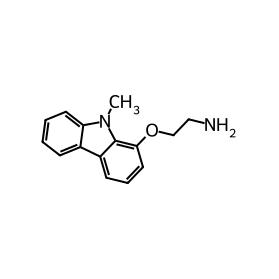 Cn1c2ccccc2c2cccc(OCCN)c21